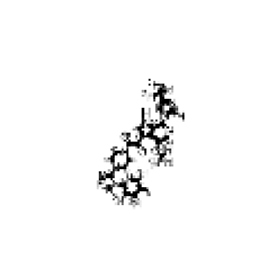 [2H]c1nc(-n2nnnc2N2CCN(C(=O)C(=O)c3c[nH]c4c(-n5nc(C([2H])([2H])[2H])nc5[2H])ncc(OC([2H])([2H])[2H])c34)CC2)c([2H])c([2H])c1C